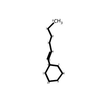 CCCCC=C[C]1CCCCC1